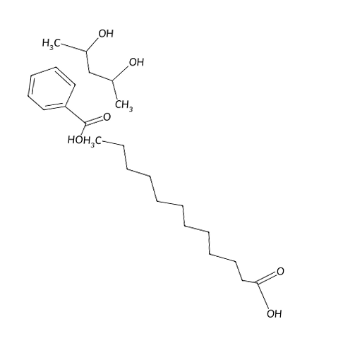 CC(O)CC(C)O.CCCCCCCCCCCC(=O)O.O=C(O)c1ccccc1